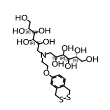 OC[C@@H](O)[C@@H](O)[C@H](O)[C@@H](O)CN(CCOc1ccc2c(c1)CSSC2)C[C@H](O)[C@@H](O)[C@H](O)[C@H](O)CO